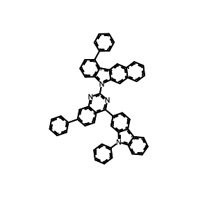 c1ccc(-c2ccc3c(-c4ccc5c6ccccc6n(-c6ccccc6)c5c4)nc(-n4c5cc6ccccc6cc5c5c(-c6ccccc6)cccc54)nc3c2)cc1